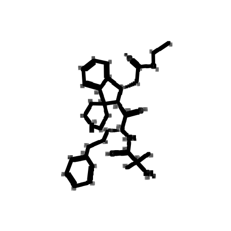 CCOC(=O)C[C@H]1c2ccccc2C2(CCNCC2)[C@@H]1C(=O)[C@@H](CCCc1ccccc1)NC(=O)C(C)(C)N